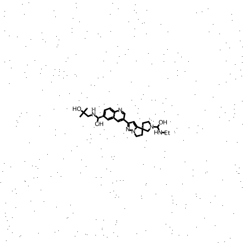 CCNC(O)N1CCC2(CCn3nc(-c4cnc5ccc(C(O)NCC(C)(C)O)cc5c4)cc32)C1